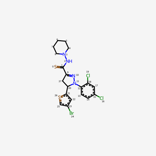 S=C(NN1CCCCC1)C1=NN(c2ccc(Cl)cc2Cl)C(c2cc(Br)cs2)C1